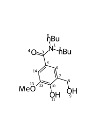 CCCCN(CCCC)C(=O)c1cc(CO)c(O)c(OC)c1